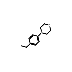 C[CH]c1ccc(N2CCOCC2)cc1